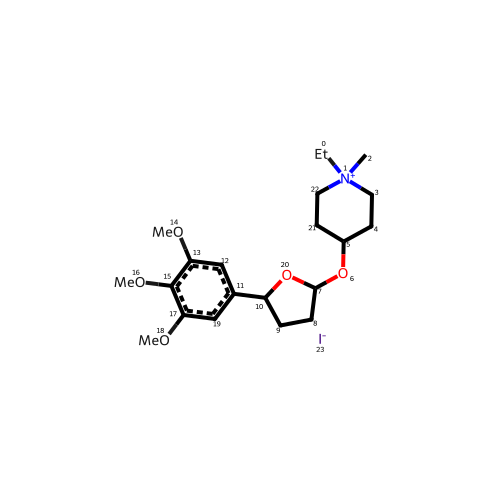 CC[N+]1(C)CCC(OC2CCC(c3cc(OC)c(OC)c(OC)c3)O2)CC1.[I-]